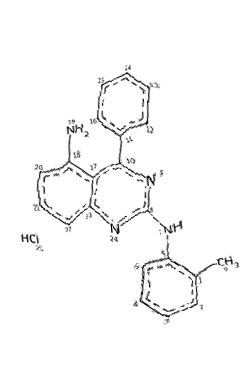 Cc1ccccc1Nc1nc(-c2ccccc2)c2c(N)cccc2n1.Cl